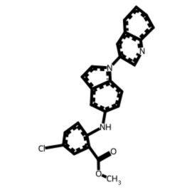 COC(=O)c1cc(Cl)ccc1Nc1ccc2c(ccn2-c2cnc3ccccc3c2)c1